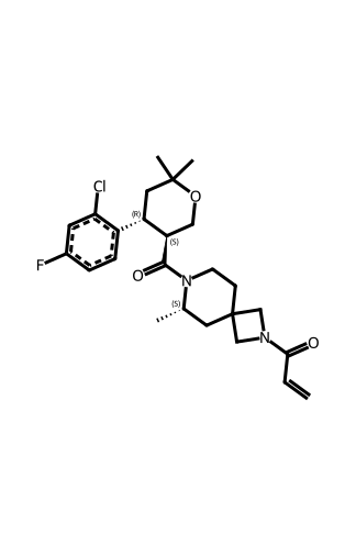 C=CC(=O)N1CC2(CCN(C(=O)[C@@H]3COC(C)(C)C[C@H]3c3ccc(F)cc3Cl)[C@@H](C)C2)C1